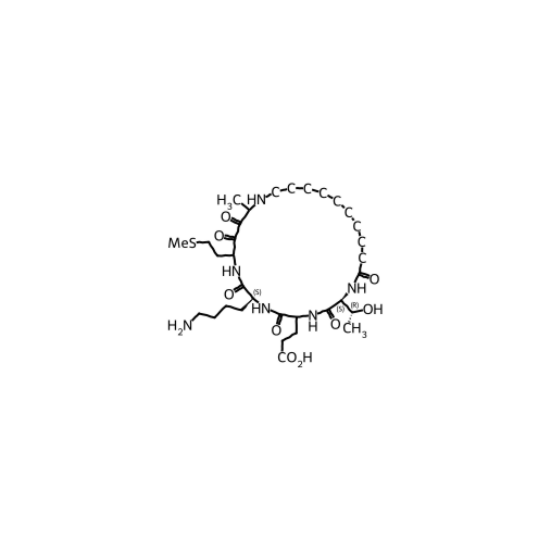 CSCCC1NC(=O)[C@H](CCCCN)NC(=O)C(CCC(=O)O)NC(=O)[C@H]([C@@H](C)O)NC(=O)CCCCCCCCCNC(C)C(=O)C1=O